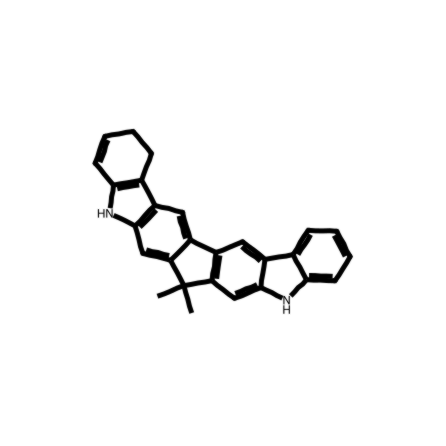 CC1(C)c2cc3[nH]c4c(c3cc2-c2cc3c(cc21)[nH]c1ccccc13)CCC=C4